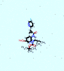 CC[C@H](C)[C@@H](CN(C(=O)[C@@H]1C[C@H]1c1ccc(F)cn1)c1ccc(O)cc1)NC(=O)OC(C)(C)C